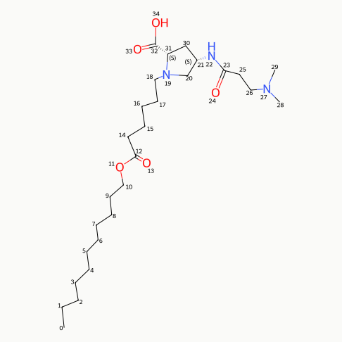 CCCCCCCCCCCOC(=O)CCCCCN1C[C@@H](NC(=O)CCN(C)C)C[C@H]1C(=O)O